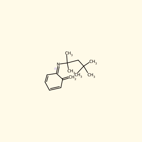 C=C1C=CC=C/C1=N/C(C)(C)CC(C)(C)C